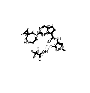 Cn1cc(NC(=O)c2ccc3cnc(N4CCNCC5(CC5)C4)nn23)c(C(F)(F)F)n1.O=C(O)C(F)(F)F